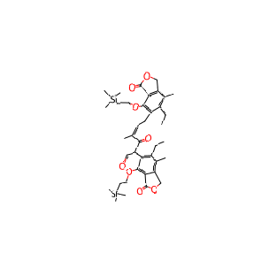 CCc1c(C)c2c(c(OCC[Si](C)(C)C)c1CC=C(C)C(=O)C(C=O)c1c(CC)c(C)c3c(c1OCC[Si](C)(C)C)C(=O)OC3)C(=O)OC2